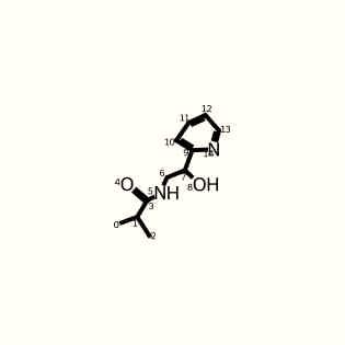 CC(C)C(=O)NCC(O)c1ccccn1